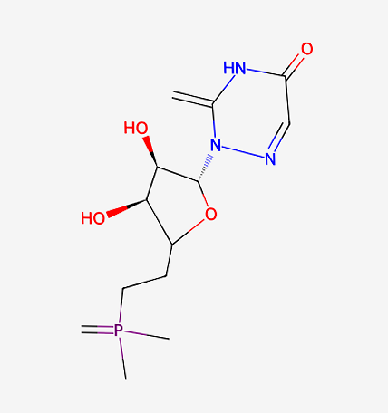 C=C1NC(=O)C=NN1[C@@H]1OC(CCP(=C)(C)C)[C@@H](O)[C@H]1O